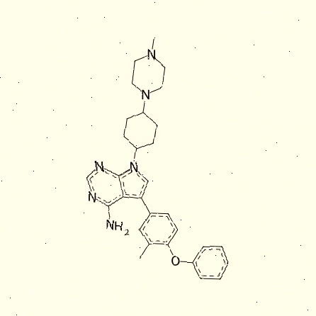 Cc1cc(-c2cn(C3CCC(N4CCN(C)CC4)CC3)c3ncnc(N)c23)ccc1Oc1ccccc1